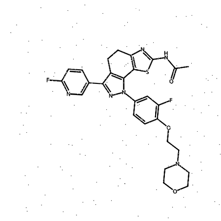 CC(=O)Nc1nc2c(s1)-c1c(c(-c3ccc(F)nc3)nn1-c1ccc(OCCN3CCOCC3)c(F)c1)CC2